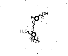 CCCc1c(OCCCOc2ccc(CC(=O)O)cc2F)ccc2c(C(F)(F)F)noc12